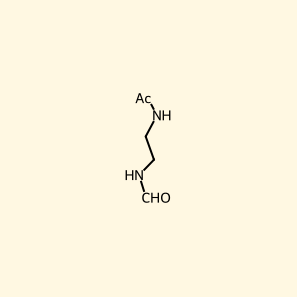 CC(=O)NCCNC=O